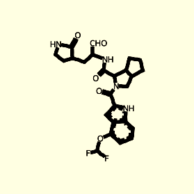 O=CC(CC1CCNC1=O)NC(=O)C1C2CCCC2CN1C(=O)c1cc2c(OC(F)F)cccc2[nH]1